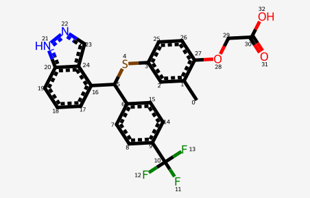 Cc1cc(SC(c2ccc(C(F)(F)F)cc2)c2cccc3[nH]ncc23)ccc1OCC(=O)O